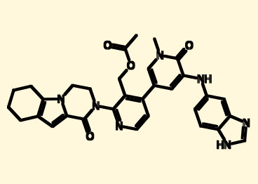 CC(=O)OCc1c(-c2cc(Nc3ccc4[nH]cnc4c3)c(=O)n(C)c2)ccnc1N1CCn2c(cc3c2CCCC3)C1=O